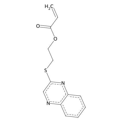 C=CC(=O)OCCSc1cnc2ccccc2n1